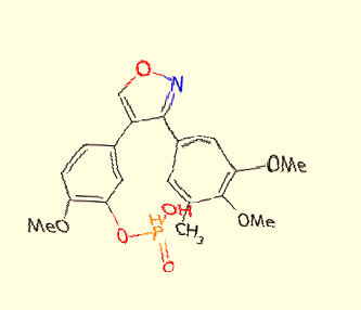 COc1ccc(-c2conc2-c2cc(C)c(OC)c(OC)c2)cc1O[PH](=O)O